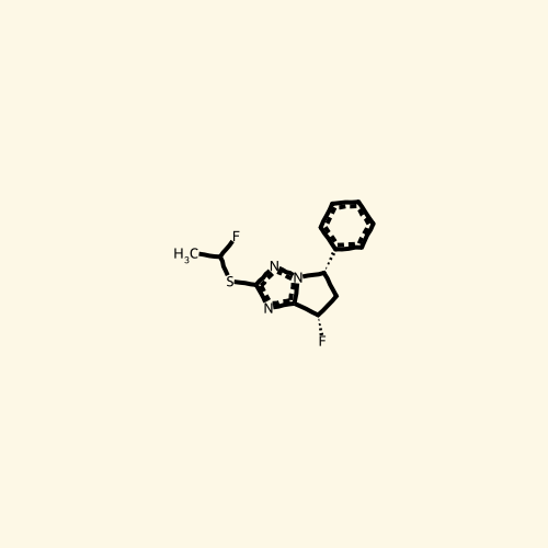 CC(F)Sc1nc2n(n1)[C@H](c1ccccc1)C[C@@H]2F